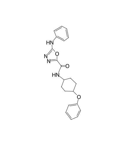 O=C(NC1CCC(Oc2ccccc2)CC1)c1nnc(Nc2ccccc2)o1